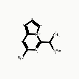 CNC(C)c1nc(C(C)(C)C)cc2cccn12